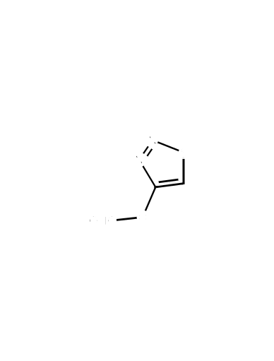 O=[C]Oc1csnn1